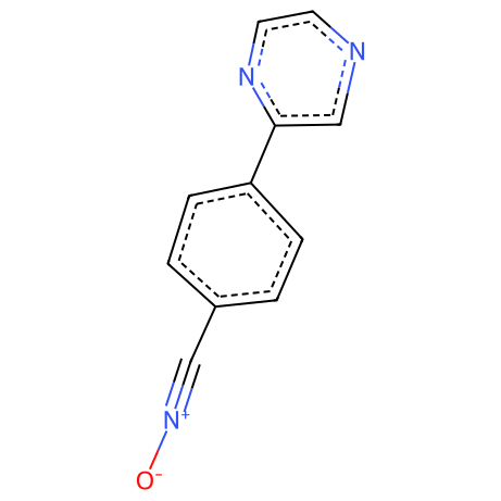 [O-][N+]#Cc1ccc(-c2cnccn2)cc1